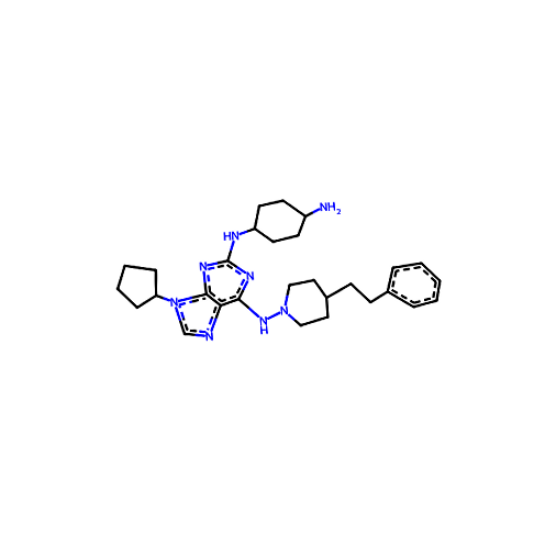 NC1CCC(Nc2nc(NN3CCC(CCc4ccccc4)CC3)c3ncn(C4CCCC4)c3n2)CC1